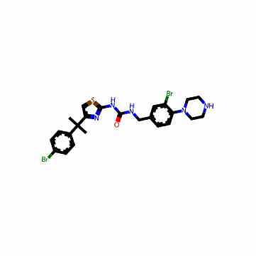 CC(C)(c1ccc(Br)cc1)c1csc(NC(=O)NCc2ccc(N3CCNCC3)c(Br)c2)n1